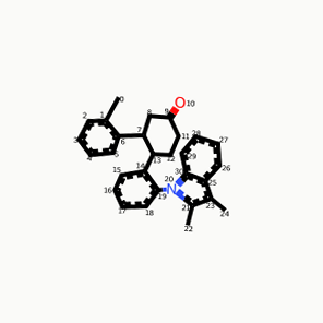 Cc1ccccc1C1CC(=O)CCC1c1ccccc1-n1c(C)c(C)c2ccccc21